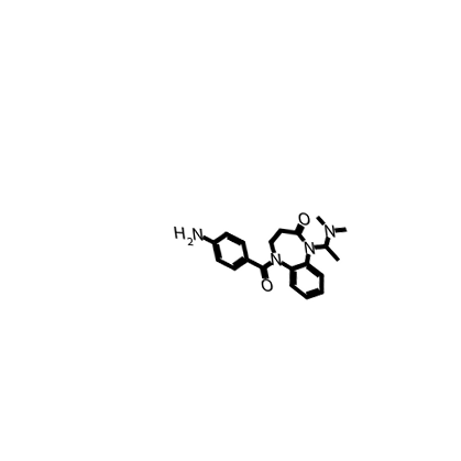 CC(N(C)C)N1C(=O)CCN(C(=O)c2ccc(N)cc2)c2ccccc21